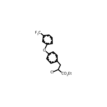 CCOC(=O)C(Cl)Cc1ccc(Oc2cccc(C(F)(F)F)c2)cc1